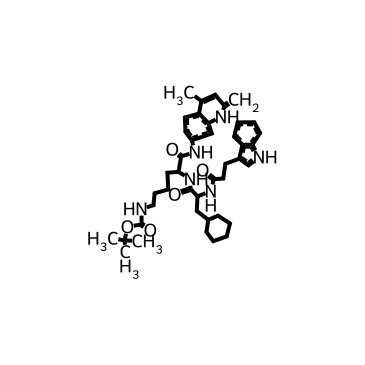 C=C1C=C(C)c2ccc(NC(=O)C(CCCCNC(=O)OC(C)(C)C)NC(=O)C(CC3CCCCC3)NC(=O)CCc3c[nH]c4ccccc34)cc2N1